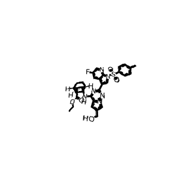 CCOC(=O)[C@@H]1C(Nc2nc(-c3cn(S(=O)(=O)c4ccc(C)cc4)c4ncc(F)cc34)nn3cc(CO)cc23)[C@H]2CC[C@@H]1CC2